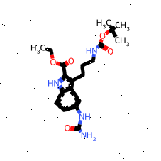 CCOC(=O)c1[nH]c2ccc(NC(N)=O)cc2c1CCCNC(=O)OC(C)(C)C